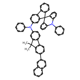 CC1(C)c2cc(-c3ccc4ccccc4c3)ccc2-c2ccc(N(c3ccccc3)c3ccc4c(c3)C3(c5ccccc5-4)c4ccccc4N(c4ccccc4)c4ccccc43)cc21